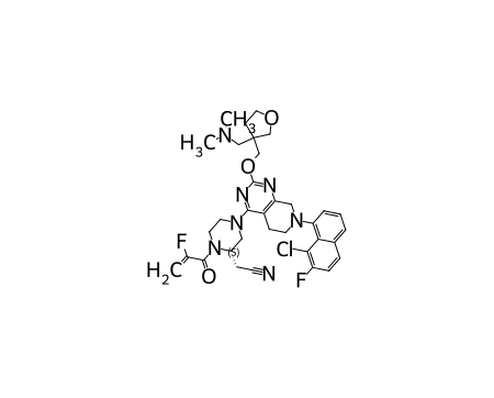 C=C(F)C(=O)N1CCN(c2nc(OCC3(CN(C)C)CCOC3)nc3c2CCN(c2cccc4ccc(F)c(Cl)c24)C3)C[C@@H]1CC#N